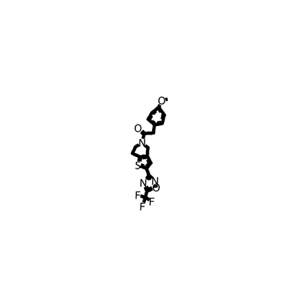 COc1ccc(CC(=O)N2CCc3sc(-c4noc(C(F)(F)F)n4)cc3C2)cc1